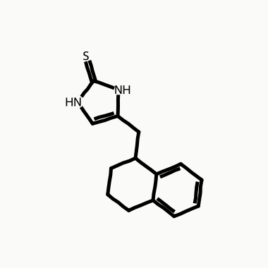 S=c1[nH]cc(CC2CCCc3ccccc32)[nH]1